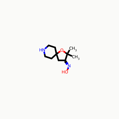 CC1(C)OC2(CCNCC2)C/C1=N\O